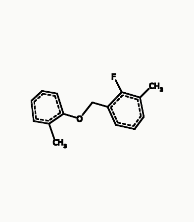 Cc1ccccc1OCc1cccc(C)c1F